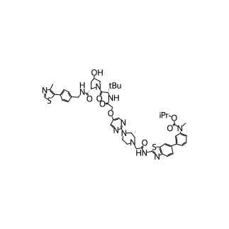 Cc1ncsc1-c1ccc(CNC(=O)[C@@H]2C[C@@H](O)CN2C(=O)[C@@H](NC(=O)COc2cnc(N3CCN(CC(=O)Nc4nc5ccc(-c6cccc(N(C)C(=O)OC(C)C)c6)cc5s4)CC3)nc2)C(C)(C)C)cc1